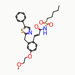 CCCCCS(=O)(=O)NC(=O)C=Cc1ccc(OCCOC)cc1Cc1ncc(-c2ccccc2)s1